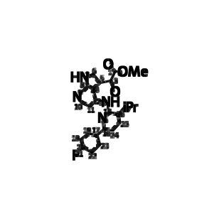 COC(=O)C(=O)c1c[nH]c2nccc(Nc3nc(-c4ccc(F)cc4)ccc3C(C)C)c12